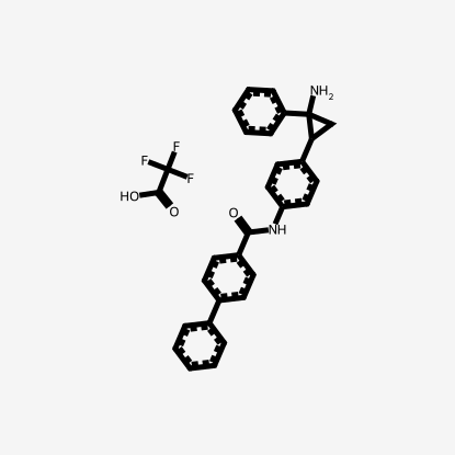 NC1(c2ccccc2)CC1c1ccc(NC(=O)c2ccc(-c3ccccc3)cc2)cc1.O=C(O)C(F)(F)F